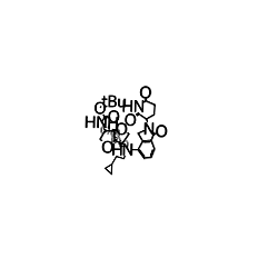 CC(C)(C)OC(=O)N[C@H]1CO[C@H]2[C@@H]1OC[C@@H]2N(CCC1CC1)c1cccc2c1CN(C1CCC(=O)NC1=O)C2=O